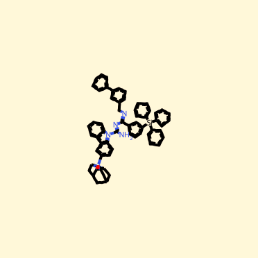 N/C(=N\C(=N/Cc1cccc(-c2ccccc2)c1)c1cccc([Si](c2ccccc2)(c2ccccc2)c2ccccc2)c1)n1c2ccccc2c2cc(N3C4CC5CC(C4)CC3C5)ccc21